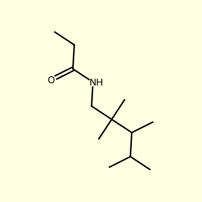 CCC(=O)NCC(C)(C)C(C)C(C)C